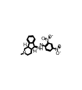 CN1CC[C@@H]2/C(=N/Nc3ccc([N+](=O)[O-])cc3[N+](=O)[O-])c3ccccc3[C@@H]2C1